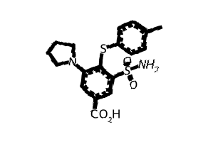 Cc1ccc(Sc2c(N3CCCC3)cc(C(=O)O)cc2S(N)(=O)=O)cc1